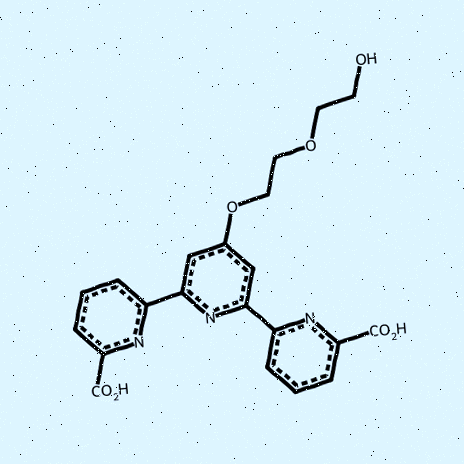 O=C(O)c1cccc(-c2cc(OCCOCCO)cc(-c3cccc(C(=O)O)n3)n2)n1